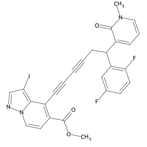 COC(=O)c1ccn2ncc(I)c2c1C#CC#CCC(c1cc(F)ccc1F)c1cccn(C)c1=O